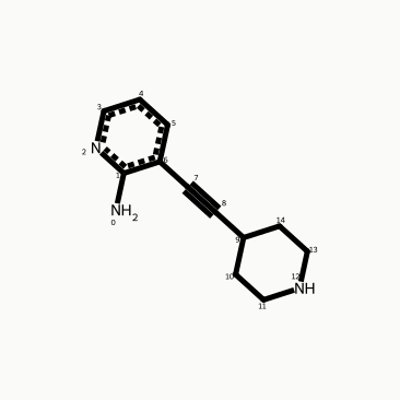 Nc1ncccc1C#CC1CCNCC1